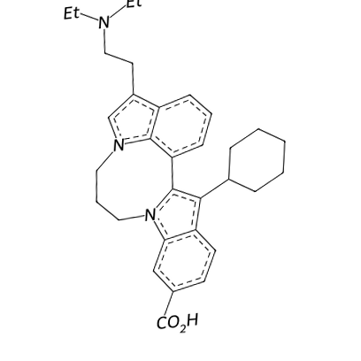 CCN(CC)CCc1cn2c3c(cccc13)-c1c(C3CCCCC3)c3ccc(C(=O)O)cc3n1CCC2